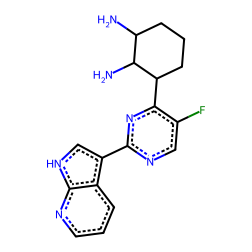 NC1CCCC(c2nc(-c3c[nH]c4ncccc34)ncc2F)C1N